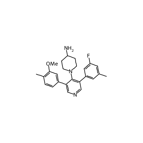 COc1cc(-c2cncc(-c3cc(C)cc(F)c3)c2N2CCC(N)CC2)ccc1C